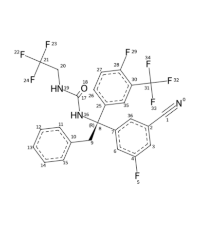 N#Cc1cc(F)cc([C@](Cc2ccccc2)(NC(=O)NCC(F)(F)F)c2ccc(F)c(C(F)(F)F)c2)c1